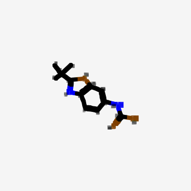 CC(C)(C)c1nc2ccc(NC(=S)S)cc2s1